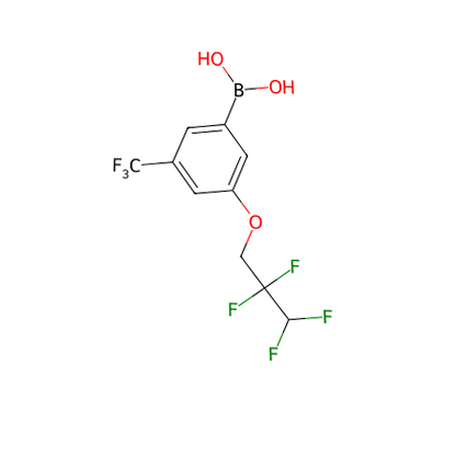 OB(O)c1cc(OCC(F)(F)C(F)F)cc(C(F)(F)F)c1